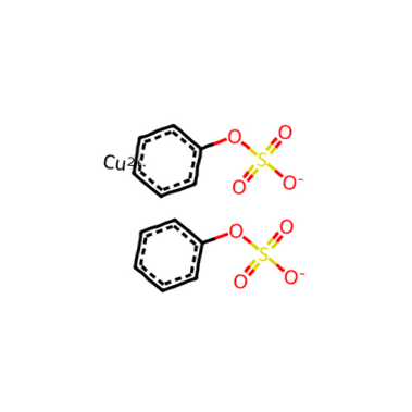 O=S(=O)([O-])Oc1ccccc1.O=S(=O)([O-])Oc1ccccc1.[Cu+2]